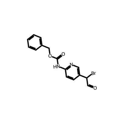 O=CC(Br)c1ccc(NC(=O)OCc2ccccc2)nc1